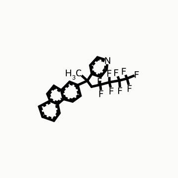 CC(CC(F)(F)C(F)(F)C(F)(F)C(F)(F)F)(c1ccncc1)c1ccc2c(ccc3ccccc32)c1